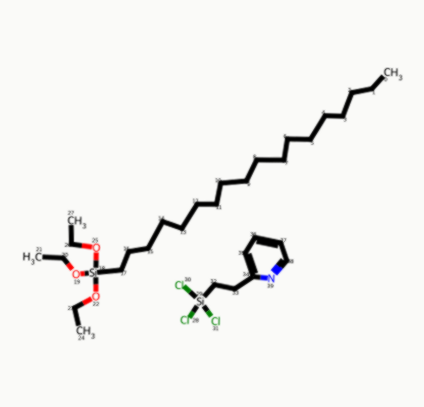 CCCCCCCCCCCCCCCCCC[Si](OCC)(OCC)OCC.Cl[Si](Cl)(Cl)CCc1ccccn1